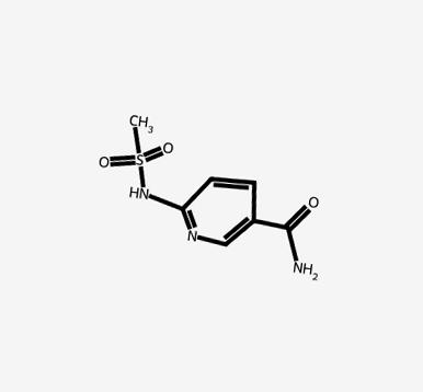 CS(=O)(=O)Nc1ccc(C(N)=O)cn1